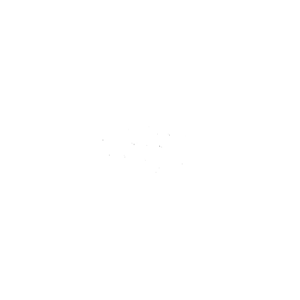 CC(C(=O)O)(N1CCCCC1)N1CCOCC1